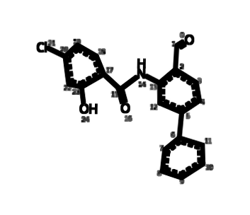 O=Cc1ccc(-c2ccccc2)cc1NC(=O)c1ccc(Cl)cc1O